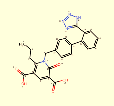 CCCc1c(C(=O)O)cc(C(=O)O)c(=O)n1Cc1ccc(-c2ccccc2-c2nnn[nH]2)cc1